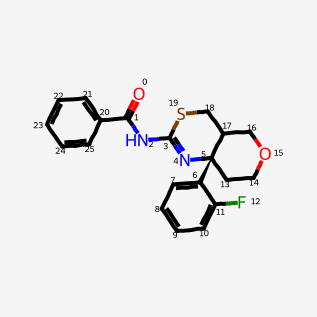 O=C(NC1=N[C@@]2(c3ccccc3F)CCOCC2CS1)c1ccccc1